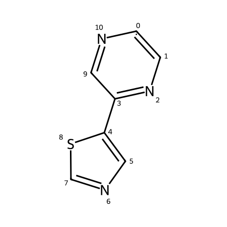 [c]1cnc(-c2cncs2)cn1